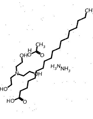 CC(=O)O.CCCCCCCCCCCCCCCCCC(=O)O.N.N.OCCN(CCO)CCO